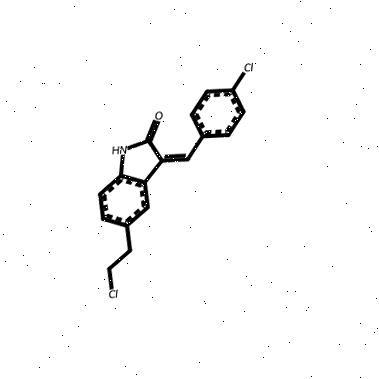 O=C1Nc2ccc(CCCl)cc2C1=Cc1ccc(Cl)cc1